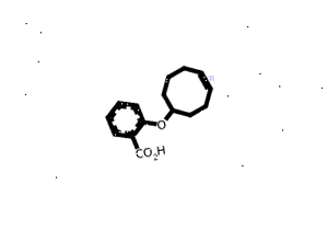 O=C(O)c1ccccc1OC1CC/C=C\CCC1